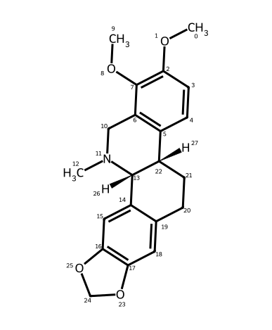 COc1ccc2c(c1OC)CN(C)[C@H]1c3cc4c(cc3CC[C@@H]21)OCO4